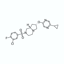 O=S(=O)(c1ccc(F)c(Cl)c1)N1CCN2C[C@@H](Oc3cnc(C4CC4)cn3)C[C@H]2C1